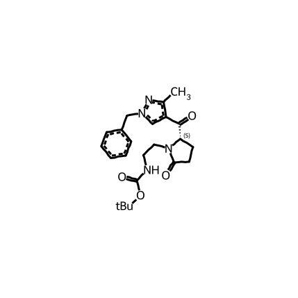 Cc1nn(Cc2ccccc2)cc1C(=O)[C@@H]1CCC(=O)N1CCNC(=O)OC(C)(C)C